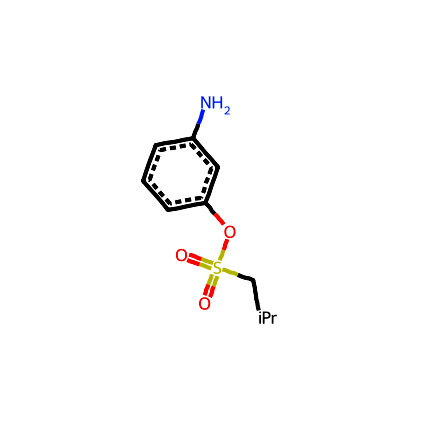 CC(C)CS(=O)(=O)Oc1cccc(N)c1